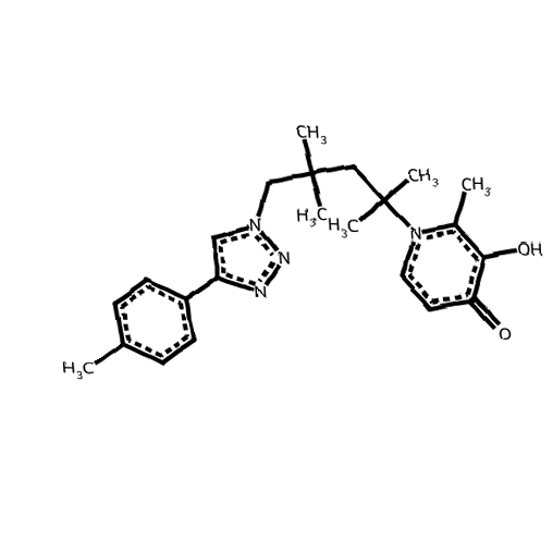 Cc1ccc(-c2cn(CC(C)(C)CC(C)(C)n3ccc(=O)c(O)c3C)nn2)cc1